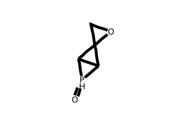 O=[PH]1C2C1C21CO1